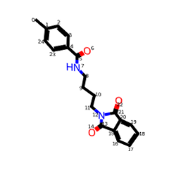 Cc1ccc(C(=O)NCCCCN2C(=O)c3ccccc3C2=O)cc1